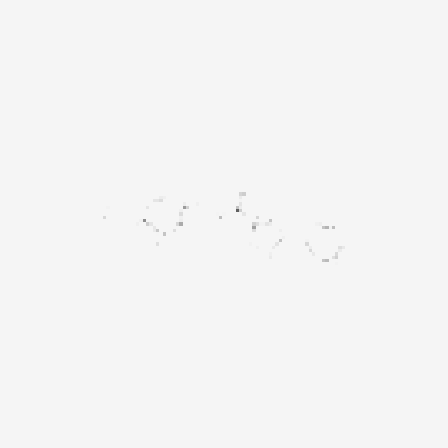 COc1ncc(NNC(=O)c2nc(-c3ccccc3)cs2)cc1F